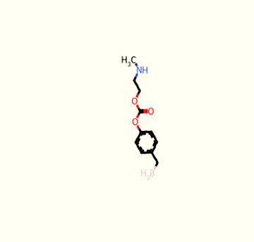 BCc1ccc(OC(=O)OCCNC)cc1